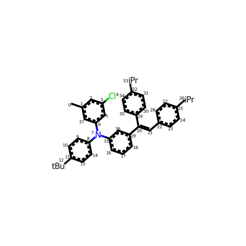 Cc1cc(Cl)cc(N(c2ccc(C(C)(C)C)cc2)c2cccc(/C(=C/c3ccc(C(C)C)cc3)c3ccc(C(C)C)cc3)c2)c1